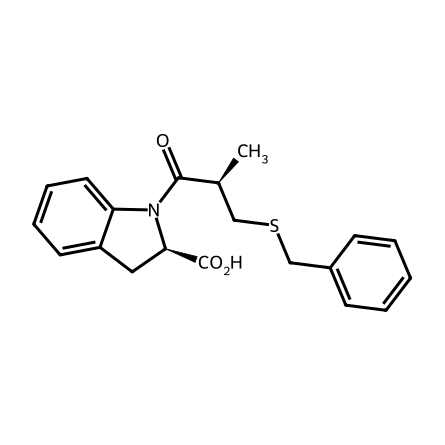 C[C@@H](CSCc1ccccc1)C(=O)N1c2ccccc2C[C@@H]1C(=O)O